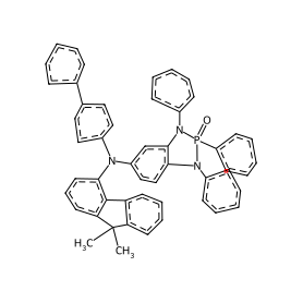 CC1(C)c2ccccc2-c2c(N(c3ccc(-c4ccccc4)cc3)c3ccc4c(c3)N(c3ccccc3)P(=O)(c3ccccc3)N4c3ccccc3)cccc21